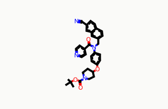 CC(C)(C)OC(=O)N1CCC(Oc2ccc(N(Cc3ccc4ccc(C#N)cc4c3)C(=O)c3ccncc3)cc2)CC1